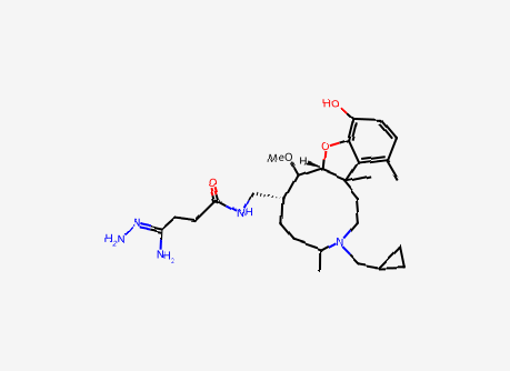 COC1[C@@H](CNC(=O)CC/C(N)=N/N)CCC(C)N(CC2CC2)CCC2(C)c3c(C)ccc(O)c3O[C@@H]12